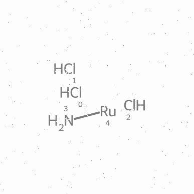 Cl.Cl.Cl.[NH2][Ru]